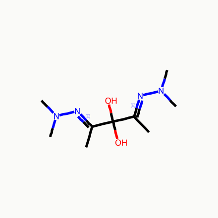 C/C(=N\N(C)C)C(O)(O)/C(C)=N/N(C)C